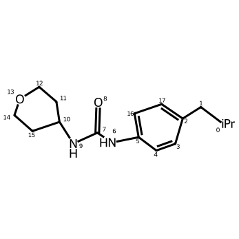 CC(C)Cc1ccc(NC(=O)NC2CCOCC2)cc1